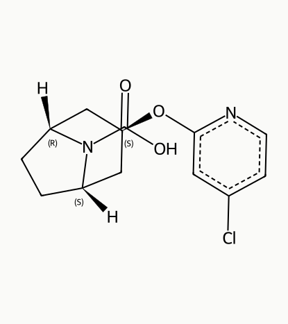 O=C(O)N1[C@@H]2CC[C@H]1C[C@H](Oc1cc(Cl)ccn1)C2